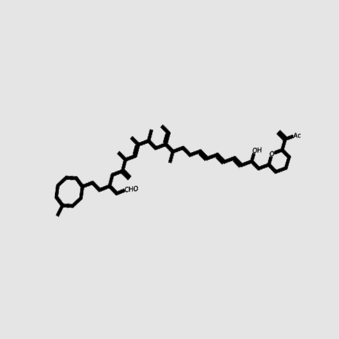 C=C(CC(CC=O)CCC1CCCCC(C)CC1)C(C)/C=C(\C)C(C)C/C(=C\C)C(C)CC/C=C/C=C/C=C/C(O)CC1CCCC(C(=C)C(C)=O)O1